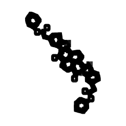 O=C(Cc1ccc2nc3c4ccc5c6c(ccc(c(=O)n3c2c1)c46)c(=O)n1c2cc(CC(=O)Oc3ccccc3)ccc2nc51)Oc1ccccc1